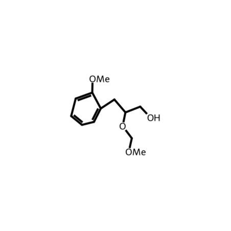 COCOC(CO)Cc1ccccc1OC